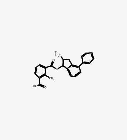 Cc1c(C(=O)O)cccc1C(=O)OC1c2cccc(-c3ccccc3)c2CC1C.[Zr]